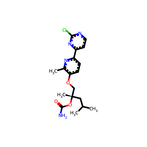 Cc1nc(-c2ccnc(Cl)n2)ccc1OC[C@](C)(CC(C)C)OC(N)=O